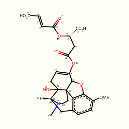 COc1ccc2c3c1OC1C(OC(=O)C[C@H](OC(=O)/C=C/C(=O)O)C(=O)O)=CC[C@@]4(O)[C@@H](C2)N(C)CCC314